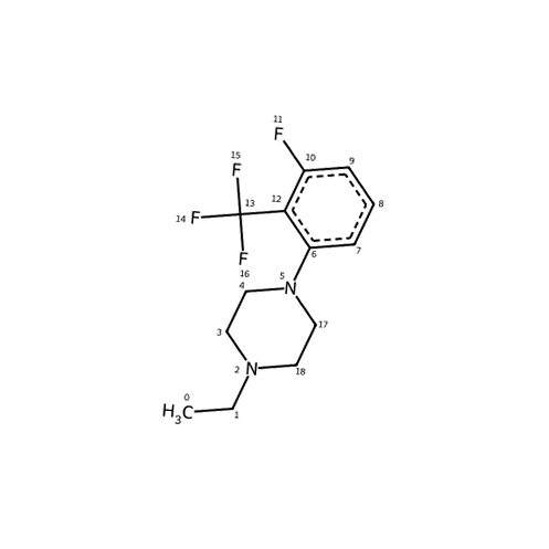 CCN1CCN(c2cccc(F)c2C(F)(F)F)CC1